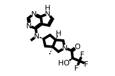 CN(c1ncnc2[nH]ccc12)[C@@H]1C[C@H]2CN(C(=O)[C@H](O)C(F)(F)F)C[C@@]2(C)C1